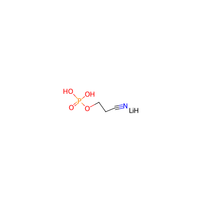 N#CCCOP(=O)(O)O.[LiH]